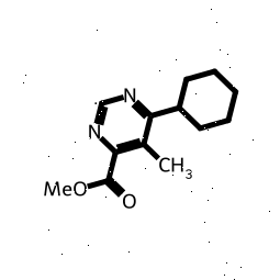 COC(=O)c1n[c]nc(C2CCCCC2)c1C